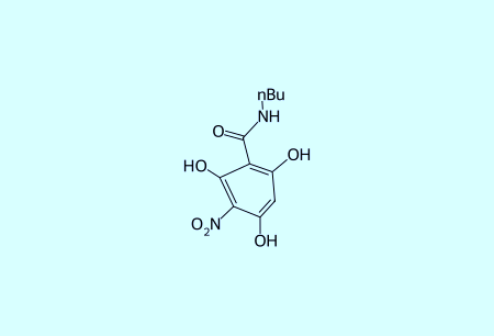 CCCCNC(=O)c1c(O)cc(O)c([N+](=O)[O-])c1O